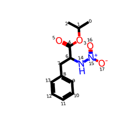 CC(C)OC(=O)C(Cc1ccccc1)N[N+](=O)[O-]